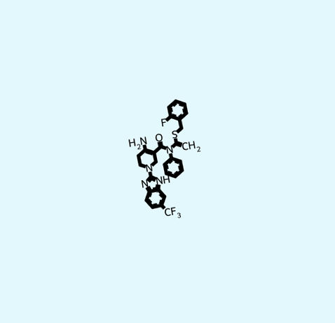 C=C(SCc1ccccc1F)N(C(=O)C1=C(N)CCN(c2nc3ccc(C(F)(F)F)cc3[nH]2)C1)c1ccccc1